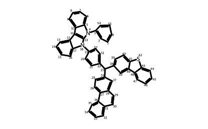 c1ccc(-n2c3ccccc3c3c4ccccc4n(-c4ccc(C(c5ccc6c(ccc7ccccc76)c5)c5ccc6sc7ccccc7c6c5)cc4)c32)cc1